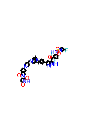 O=C1CCC(N2Cc3cc(N4CCC(CN5CC[C@H]6[C@@H](C5)CN6c5ccc(-c6cnc7[nH]cc(C(=O)c8c(F)ccc(NS(=O)(=O)N9CC[C@@H](F)C9)c8F)c7c6)cc5)CC4)ccc3C2=O)C(=O)N1